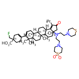 CC(C)C1=C2[C@H]3CC[C@@H]4[C@@]5(C)CC=C(C6=CC[C@](CF)(C(=O)O)CC6)C(C)(C)[C@@H]5CC[C@@]4(C)[C@]3(C)CC[C@@]2(N(CCN2CCSCC2)CCN2CCS(=O)(=O)CC2)CC1=O